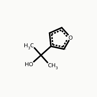 CC(C)(O)c1[c]occ1